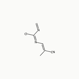 C=N/C(Cl)=N\C=C(/C)C#N